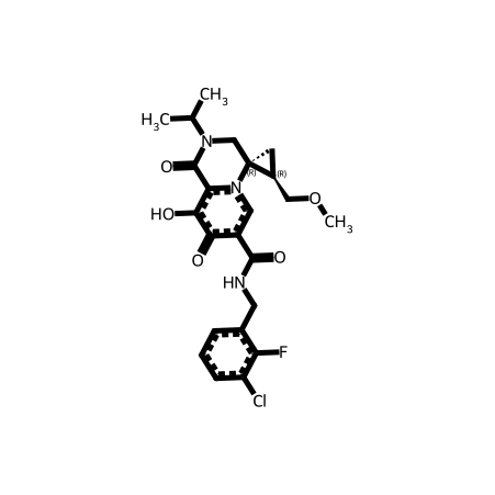 COC[C@@H]1C[C@]12CN(C(C)C)C(=O)c1c(O)c(=O)c(C(=O)NCc3cccc(Cl)c3F)cn12